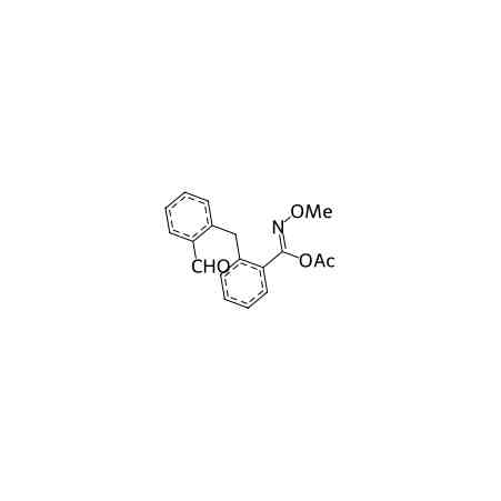 CON=C(OC(C)=O)c1ccccc1Cc1ccccc1C=O